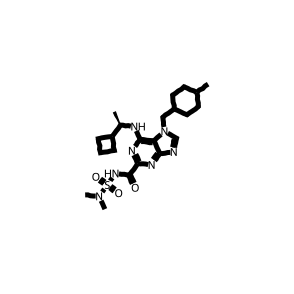 CC1CCC(Cn2cnc3nc(C(=O)NS(=O)(=O)N(C)C)nc(N[C@H](C)C4CCC4)c32)CC1